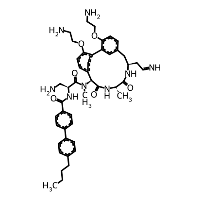 CCCCc1ccc(-c2ccc(C(=O)N[C@@H](CN)C(=O)N(C)[C@@H]3C(=O)N[C@@H](C)C(=O)N[C@H](CC=N)Cc4ccc(OCCN)c(c4)-c4cc3ccc4OCCN)cc2)cc1